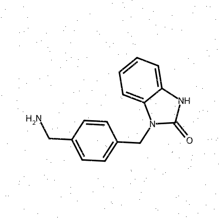 NCc1ccc(Cn2c(=O)[nH]c3ccccc32)cc1